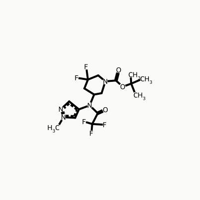 Cn1cc(N(C(=O)C(F)(F)F)C2CN(C(=O)OC(C)(C)C)CC(F)(F)C2)cn1